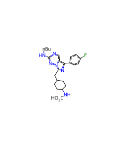 CCCCNc1ncc2c(-c3ccc(F)cc3)nc(CC3CCC(NC(=O)O)CC3)n2n1